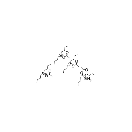 CCC[CH2][Sn]([CH2]CCC)[O]C(C)=O.CCC[CH2][Sn]([CH2]CCC)[O]C(C)=O.CCC[CH2][Sn]([CH2]CCC)[O]C(C)=O.CCC[CH2][Sn]([SiH3])([CH2]CCC)[O]C(C)=O